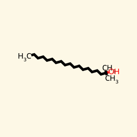 CCCCCCCCCCCCCCCCCC(C)(C)O